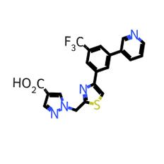 O=C(O)c1cnn(Cc2nc(-c3cc(-c4cccnc4)cc(C(F)(F)F)c3)cs2)c1